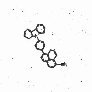 N#Cc1ccc2ccc(-c3ccc(N4c5ccccc5C5=CC=CCC54)cc3)c3c2c1C=CC3